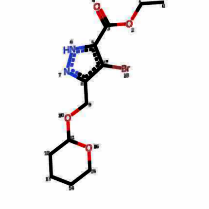 CCOC(=O)c1[nH]nc(COC2CCCCO2)c1Br